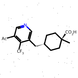 CC(=O)c1cncc(C[C@H]2CC[C@](C)(C(=O)O)CC2)c1C(F)(F)F